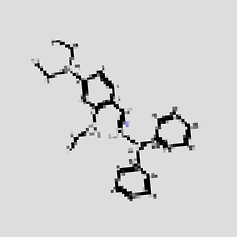 CCOc1cc(N(CC)CC)ccc1/C=N/N(c1ccccc1)c1ccccc1